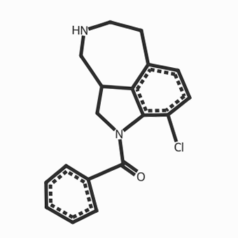 O=C(c1ccccc1)N1CC2CNCCc3ccc(Cl)c1c32